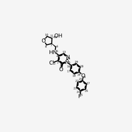 O=c1c(Cl)c(NC[C@H]2COC[C@@H]2O)cnn1-c1ccc(Oc2ccc(F)cc2)cc1